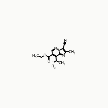 CCOC(=O)c1cnn2c(C#N)c(C)nc2c1C(C)C